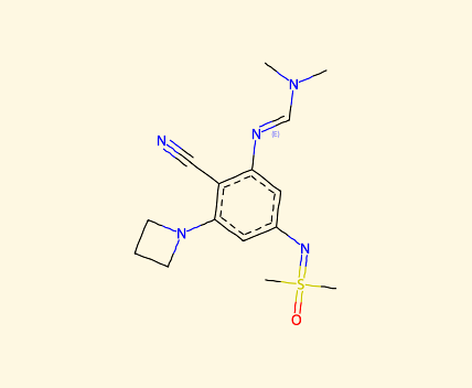 CN(C)/C=N/c1cc(N=S(C)(C)=O)cc(N2CCC2)c1C#N